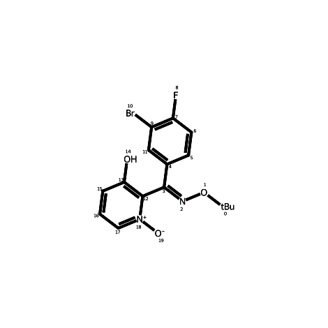 CC(C)(C)O/N=C(\c1ccc(F)c(Br)c1)c1c(O)ccc[n+]1[O-]